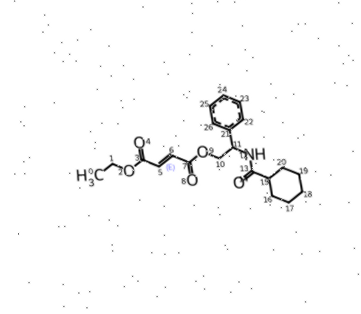 CCOC(=O)/C=C/C(=O)OCC(NC(=O)C1CCCCC1)c1ccccc1